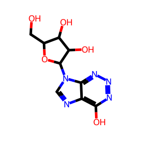 OCC1OC(n2cnc3c(O)nnnc32)C(O)C1O